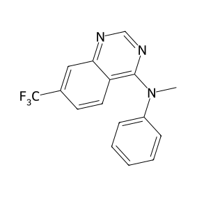 CN(c1ccccc1)c1ncnc2cc(C(F)(F)F)ccc12